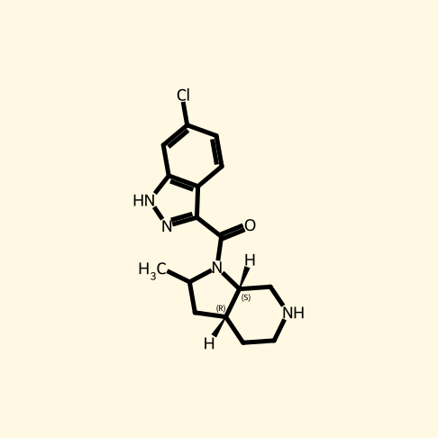 CC1C[C@H]2CCNC[C@H]2N1C(=O)c1n[nH]c2cc(Cl)ccc12